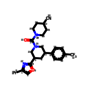 CC(C)c1coc(C2CC(c3ccc(C(F)(F)F)cc3)CN(C(=O)N3CCC(C#N)CC3)C2)n1